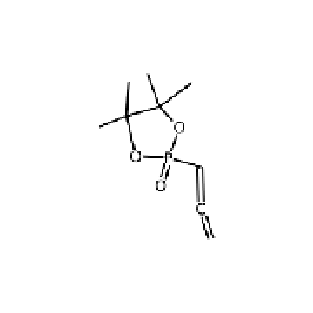 C=C=CP1(=O)OC(C)(C)C(C)(C)O1